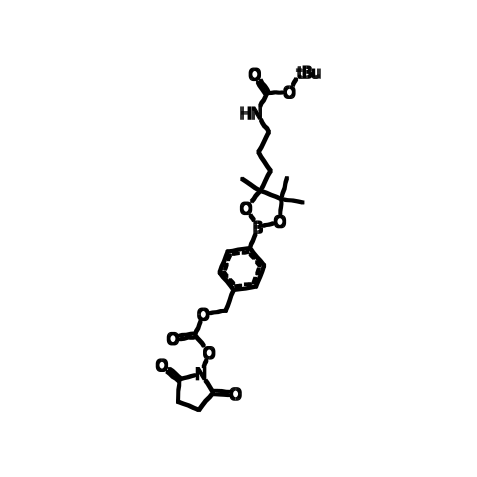 CC(C)(C)OC(=O)NCCCC1(C)OB(c2ccc(COC(=O)ON3C(=O)CCC3=O)cc2)OC1(C)C